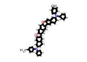 Cc1ccc(N(c2ccccc2)c2ccc3cc4c(cc3c2)oc2cc3cc5oc6cc7cc(N(c8ccccc8)c8ccc(C)cc8)ccc7cc6c5cc3cc24)cc1